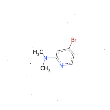 CN(C)c1cc(Br)ccn1